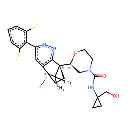 CC1(C)[C@H]2CC[C@]1([C@@H]1CN(C(=O)NC3(CO)CC3)CCO1)c1nnc(-c3c(F)cccc3F)cc12